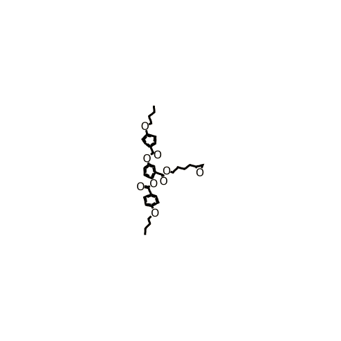 CCCCOc1ccc(C(=O)Oc2ccc(OC(=O)c3ccc(OCCCC)cc3)c(C(=O)OCCCCC3CO3)c2)cc1